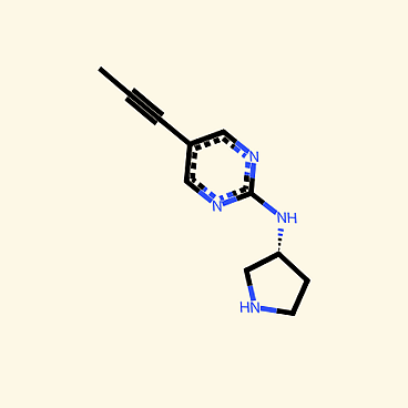 CC#Cc1cnc(N[C@@H]2CCNC2)nc1